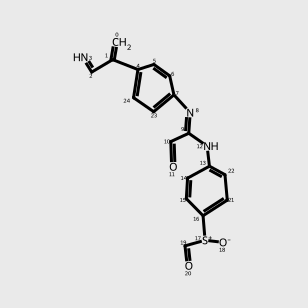 C=C(C=N)c1ccc(/N=C(\C=O)Nc2ccc([S+]([O-])C=O)cc2)cc1